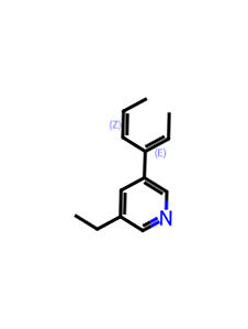 C/C=C\C(=C/C)c1cncc(CC)c1